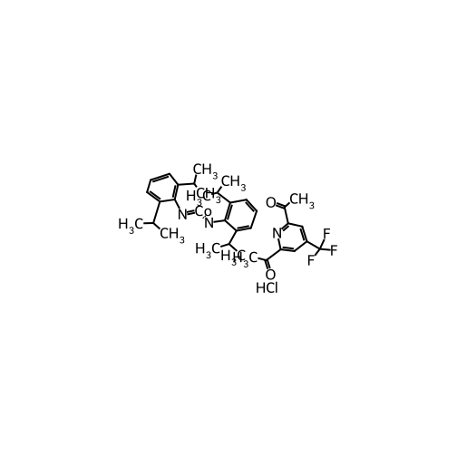 CC(=O)c1cc(C(F)(F)F)cc(C(C)=O)n1.CC(C)c1cccc(C(C)C)c1[N]=[Co]=[N]c1c(C(C)C)cccc1C(C)C.Cl